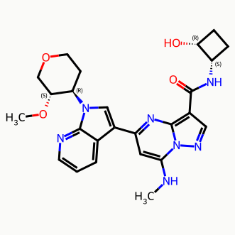 CNc1cc(-c2cn([C@@H]3CCOC[C@H]3OC)c3ncccc23)nc2c(C(=O)N[C@H]3CC[C@H]3O)cnn12